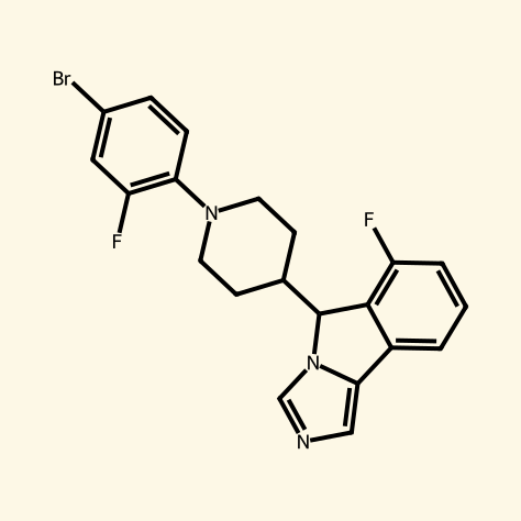 Fc1cc(Br)ccc1N1CCC(C2c3c(F)cccc3-c3cncn32)CC1